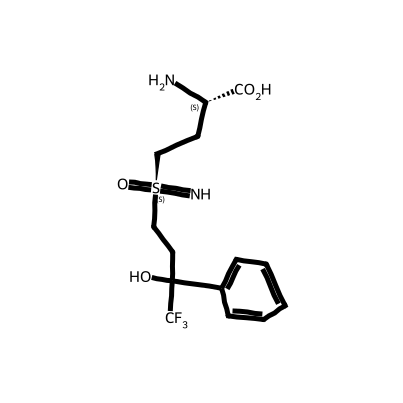 N=[S@](=O)(CC[C@H](N)C(=O)O)CCC(O)(c1ccccc1)C(F)(F)F